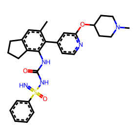 Cc1cc2c(c(NC(=O)NS(=N)(=O)c3ccccc3)c1-c1ccnc(OC3CCN(C)CC3)c1)CCC2